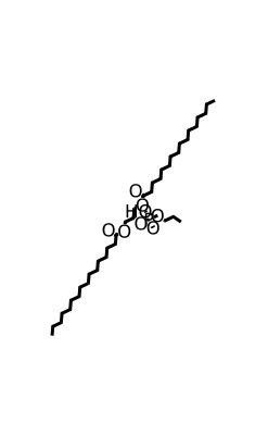 CCCCCCCCCCCCCCCC(=O)OCC(COC(=O)CCCCCCCCCCCCCCC)OP(=O)(O)OCCC